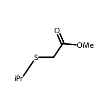 [CH2]C(C)SCC(=O)OC